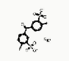 O=C(c1ccc(F)c(S(=O)(=O)[O-])c1)c1ccc(F)c(S(=O)(=O)[O-])c1.[K+].[K+]